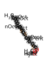 C=C(C)C(=O)OC(CCCCCCCCCCC)Oc1ccc2c(c1)sc1cc(-c3ccc4c(c3)C(CCCCC)(CCCCC)c3cc(-c5cc6cc7sc(-c8ccc9c(c8)C(CCCCCCCC)(CCCCCCCC)c8cc%10cc%11c(cc%10cc8-9)C(CCCCCCCC)(CCCCCCCC)c8cc(C)ccc8-%11)cc7cc6s5)ccc3-4)ccc12